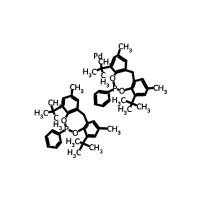 Cc1cc2c(c(C(C)(C)C)c1)OP(c1ccccc1)Oc1c(cc(C)cc1C(C)(C)C)C2.Cc1cc2c(c(C(C)(C)C)c1)OP(c1ccccc1)Oc1c(cc(C)cc1C(C)(C)C)C2.[Pd]